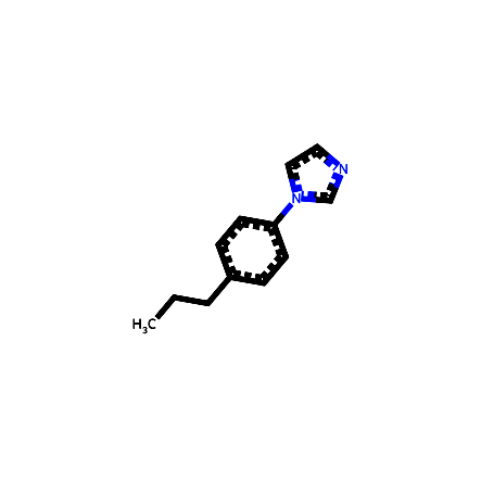 CCCc1ccc(-n2ccnc2)cc1